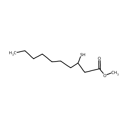 CCCCCCCC(S)CC(=O)OC